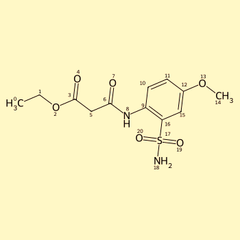 CCOC(=O)CC(=O)Nc1ccc(OC)cc1S(N)(=O)=O